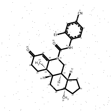 CCc1cc(C#N)ccc1NC(=O)N1C[C@H]2[C@@H]3CCC[C@@]3(C)CC[C@@H]2[C@@]2(C)CCC(=O)C=C12